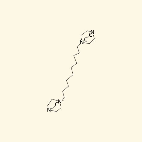 C(CCCCC[N+]12CCN(CC1)CC2)CCCC[N+]12CCN(CC1)CC2